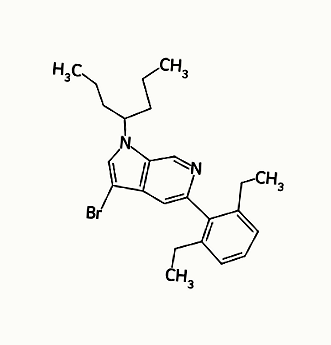 CCCC(CCC)n1cc(Br)c2cc(-c3c(CC)cccc3CC)ncc21